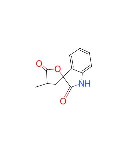 CC1CC2(OC1=O)C(=O)Nc1ccccc12